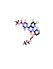 C[C@H]1CN(c2nc(=O)n(-c3c(OCCO[Si](C)(C)C(C)(C)C)ccnc3Cl)c3nc(Cl)c(F)cc23)[C@@H](C)CN1C(=O)OC(C)(C)C